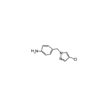 Nc1ccc(Cn2cc(Cl)cn2)cc1